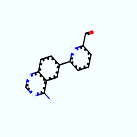 Nc1ncnc2ccc(-c3cccc(C=O)n3)cc12